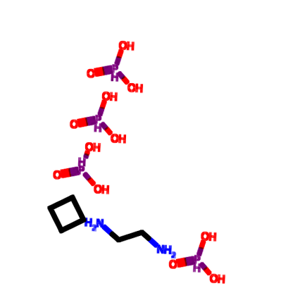 C1CCC1.NCCN.O=[PH](O)O.O=[PH](O)O.O=[PH](O)O.O=[PH](O)O